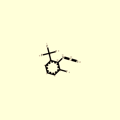 Fc1cccc(C(F)(F)F)c1N=C=S